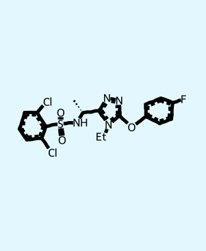 CCn1c(Oc2ccc(F)cc2)nnc1[C@@H](C)NS(=O)(=O)c1c(Cl)cccc1Cl